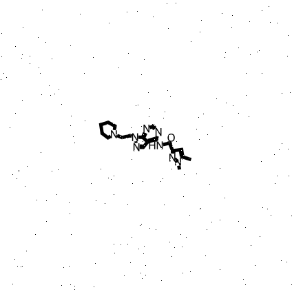 Cc1cc(C(=O)Nc2ncnc3c2cnn3CCN2CCCCC2)nn1C